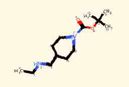 CCNCC1CCN(C(=O)OC(C)(C)C)CC1